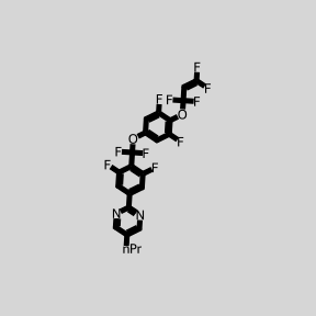 CCCc1cnc(-c2cc(F)c(C(F)(F)Oc3cc(F)c(OC(F)(F)C=C(F)F)c(F)c3)c(F)c2)nc1